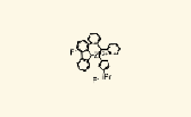 CC(C)C1=CC[C]([Zr+2](=[C](c2ccccc2)c2ccccc2)[CH]2c3ccccc3-c3ccccc32)=C1.[F-].[F-]